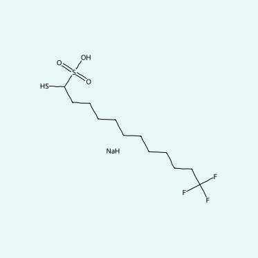 O=S(=O)(O)C(S)CCCCCCCCCCC(F)(F)F.[NaH]